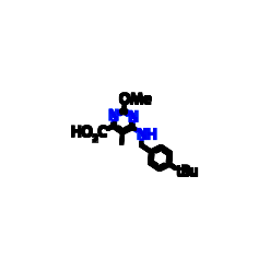 COc1nc(NCc2ccc(C(C)(C)C)cc2)c(C)c(C(=O)O)n1